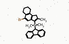 CC1=C([Si](C)(C)C2c3ccccc3-c3ccccc32)c2cc(Br)c3c(c2C1)CCCC3